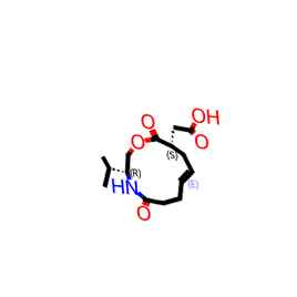 CC(C)[C@@H]1COC(=O)[C@H](CC(=O)O)C/C=C/CCC(=O)N1